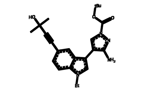 CCn1cc(-c2cn(C(=O)OC(C)(C)C)nc2N)c2cc(C#CC(C)(C)O)ccc21